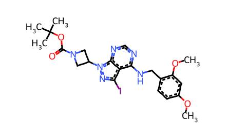 COc1ccc(CNc2ncnc3c2c(I)nn3C2CN(C(=O)OC(C)(C)C)C2)c(OC)c1